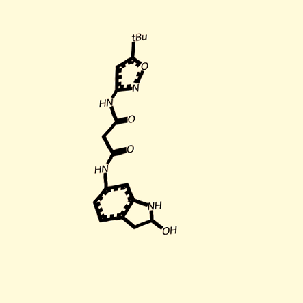 CC(C)(C)c1cc(NC(=O)CC(=O)Nc2ccc3c(c2)NC(O)C3)no1